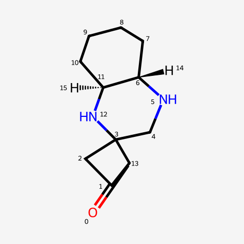 O=C1CC2(CN[C@H]3CCCC[C@@H]3N2)C1